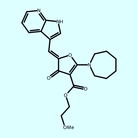 COCCOC(=O)C1=C(N2CCCCCC2)O/C(=C\c2c[nH]c3ncccc23)C1=O